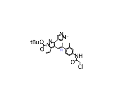 C=Cc1c(/C=C(\C)c2ccc(NC(=O)CCl)cc2C)c(-c2cnn(C)c2)nn1C(=O)OC(C)(C)C